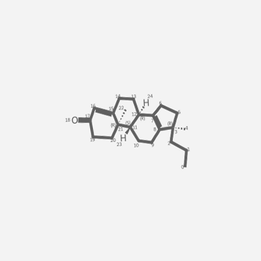 CCC[C@]1(C)CCC2=C1CC[C@H]1[C@H]2CCC2=CC(=O)CC[C@@]21C